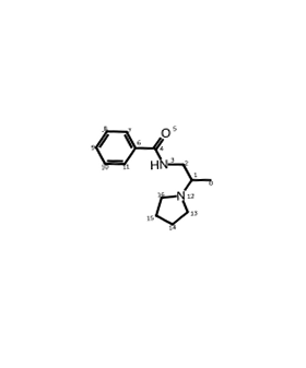 CC(CNC(=O)c1c[c]ccc1)N1CCCC1